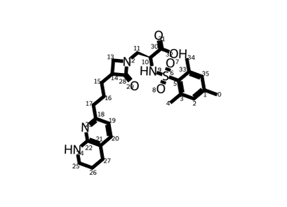 Cc1cc(C)c(S(=O)(=O)N[C@@H](CN2CC(CCCc3ccc4c(n3)NCCC4)C2=O)C(=O)O)c(C)c1